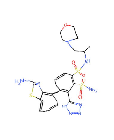 CC(CN1CCOCC1)NS(=O)(=O)c1ccc(-c2cccc3sc(N)nc23)c(-c2nnn[nH]2)c1S(N)(=O)=O